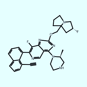 C#Cc1cccc2cccc(-c3ncc4c(N5CCNC[C@@H]5C)nc(OCC56CCCN5C[C@H](F)C6)nc4c3F)c12